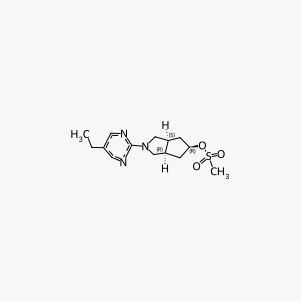 CCc1cnc(N2C[C@H]3C[C@@H](OS(C)(=O)=O)C[C@H]3C2)nc1